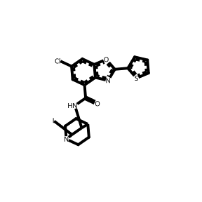 O=C(NC1C2CCN(CC2)C1I)c1cc(Cl)cc2oc(-c3cccs3)nc12